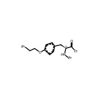 CCC(=O)[C@H](Cc1ccc(OCCC(C)C)cc1)NC(C)C